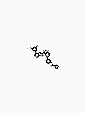 Cc1cc(F)cc(-c2cncc3[nH]c(-c4n[nH]c5ccc(-c6cccc(NC(=O)C7CCCC7)c6)nc45)cc23)c1